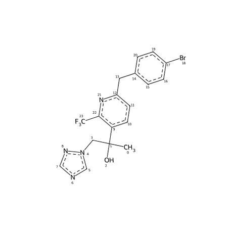 CC(O)(Cn1cncn1)c1ccc(Cc2ccc(Br)cc2)nc1C(F)(F)F